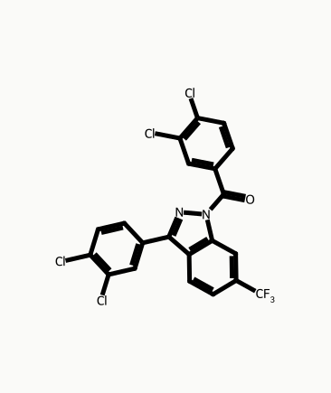 O=C(c1ccc(Cl)c(Cl)c1)n1nc(-c2ccc(Cl)c(Cl)c2)c2ccc(C(F)(F)F)cc21